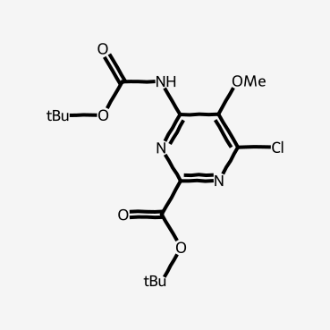 COc1c(Cl)nc(C(=O)OC(C)(C)C)nc1NC(=O)OC(C)(C)C